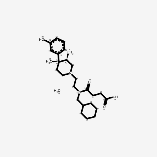 C[C@H]1CN(CCN(CC2CCCCC2)C(=O)CCC(=O)O)CC[C@]1(C)c1cccc(O)c1.O